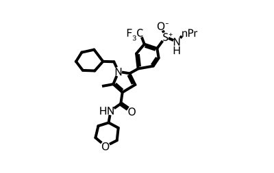 CCCN[S+]([O-])c1ccc(-c2cc(C(=O)NC3CCOCC3)c(C)n2CC2CCCCC2)cc1C(F)(F)F